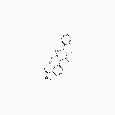 C[C@@H](C(N)c1ccccc1)N(C)c1ncnc2c(C(N)=O)cccc12